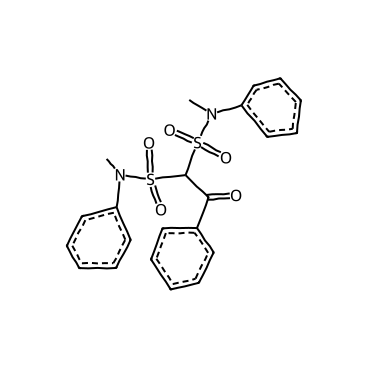 CN(c1ccccc1)S(=O)(=O)C(C(=O)c1ccccc1)S(=O)(=O)N(C)c1ccccc1